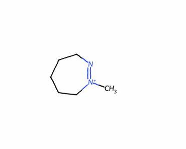 C[N+]1=NCCCCC1